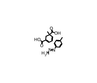 CC1(C(=O)O)C=CC=C(C(=O)O)C1.Cc1ccc(N=NN)cc1